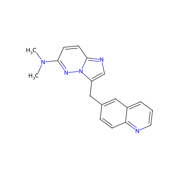 CN(C)c1ccc2ncc(Cc3ccc4ncccc4c3)n2n1